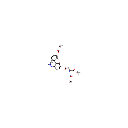 CN1CC[C@]23c4c5ccc(OC(=O)OC(C)(C)C)c4O[C@H]2C(OC(=O)CC(NC(=O)OC(C)(C)C)C(=O)OC(C)(C)C)=CC[C@@]3(O)[C@H]1C5